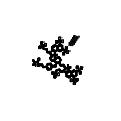 C=C(C)C(=O)NCCc1ccc(OC2=C(C=CC3=[N+](CCCS(=O)(=O)[O-])c4ccc5c(S(=O)(=O)[O-])cc(S(=O)(=O)[O-])cc5c4C3(C)C)CCCC2=CC=C2N(CCCS(=O)(=O)[O-])c3ccc4c(S(=O)(=O)[O-])cc(S(=O)(=O)[O-])cc4c3C2(C)C)cc1.[Na+].[Na+].[Na+].[Na+].[Na+]